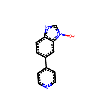 On1cnc2ccc(-c3ccncc3)cc21